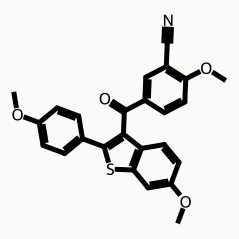 COc1ccc(-c2sc3cc(OC)ccc3c2C(=O)c2ccc(OC)c(C#N)c2)cc1